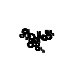 CC(OC1N=C(Nc2ccc3c(c2)N(C)CCC3)C2=C(CCN(c3ncccc3C(F)(F)F)CC2)N1)C1CCCCC1